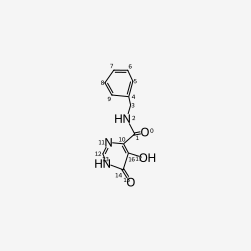 O=C(NCc1ccccc1)c1nc[nH]c(=O)c1O